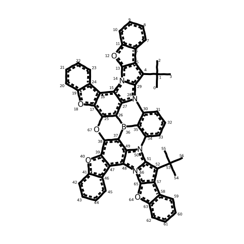 CC(C)(C)c1c2c3ccccc3oc2n2c3c4c(oc5ccccc54)c4c5c3n(c12)-c1cccc2c1B5c1c(c3oc5ccccc5c3c3c1n-2c1c(C(C)(C)C)c2c5ccccc5oc2n31)O4